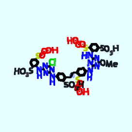 COc1nc(Nc2ccc(/C=C/c3ccc(Nc4nc(Cl)nc(Nc5cc(SOOO)ccc5S(=O)(=O)O)n4)cc3S(=O)(=O)O)c(SOOO)c2)nc(Nc2cc(S(=O)(=O)O)ccc2SOOO)n1